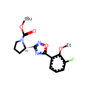 CCOc1c(F)cccc1-c1nc([C@@H]2CCCN2C(=O)OC(C)(C)C)no1